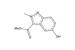 COC(=O)c1c2cc(O)ccc2nn1C